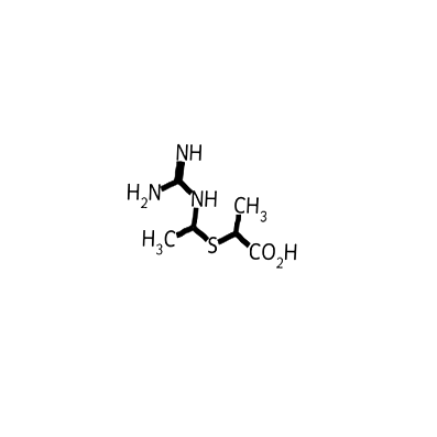 CC(NC(=N)N)SC(C)C(=O)O